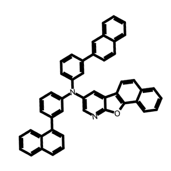 c1cc(-c2ccc3ccccc3c2)cc(N(c2cccc(-c3cccc4ccccc34)c2)c2cnc3oc4c5ccccc5ccc4c3c2)c1